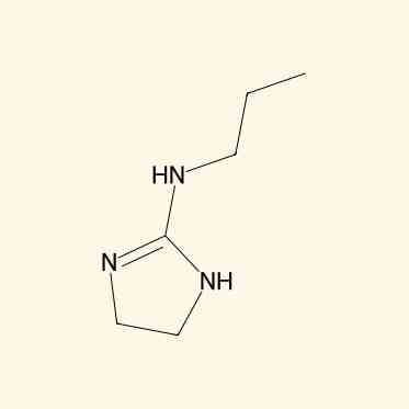 CCCNC1=NCCN1